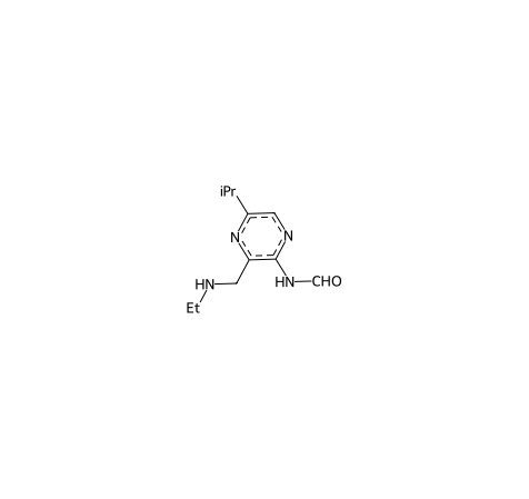 CCNCc1nc(C(C)C)cnc1NC=O